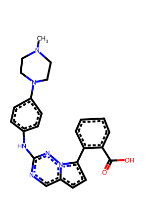 CN1CCN(c2ccc(Nc3ncc4ccc(-c5ccccc5C(=O)O)n4n3)cc2)CC1